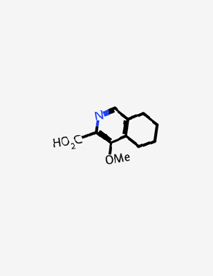 COc1c(C(=O)O)ncc2c1CCCC2